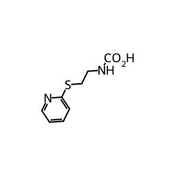 O=C(O)NCCSc1ccccn1